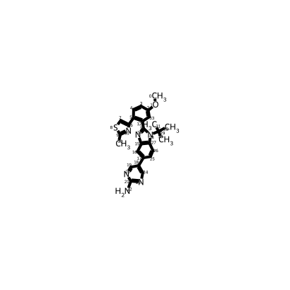 COc1ccc(-c2csc(C)n2)c(-c2nc3cc(-c4cnc(N)nc4)ccc3n2C(C)(C)C)c1